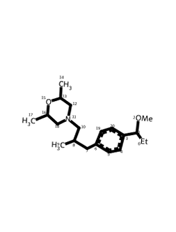 CCC(OC)c1ccc(CC(C)CN2CC(C)OC(C)C2)cc1